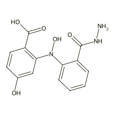 NNC(=O)c1ccccc1N(O)c1cc(O)ccc1C(=O)O